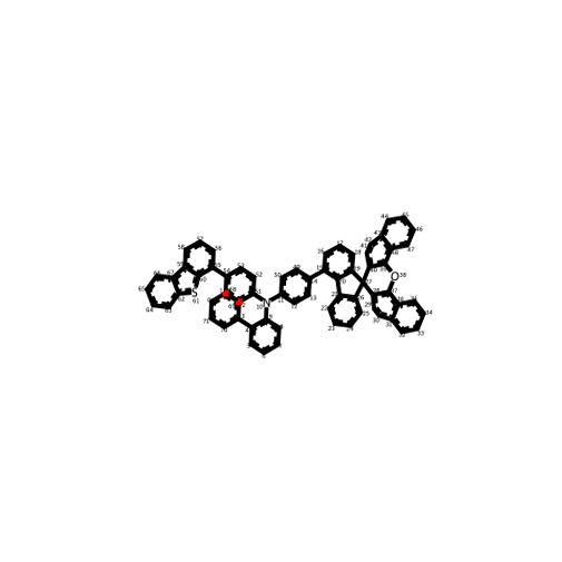 c1ccc(-c2ccccc2N(c2ccc(-c3cccc4c3-c3ccccc3C43c4ccc5ccccc5c4Oc4c3ccc3ccccc43)cc2)c2ccc(-c3cccc4c3sc3ccccc34)cc2)cc1